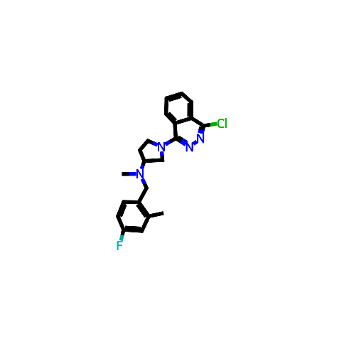 Cc1cc(F)ccc1CN(C)C1CCN(c2nnc(Cl)c3ccccc23)C1